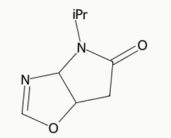 CC(C)N1C(=O)CC2OC=NC21